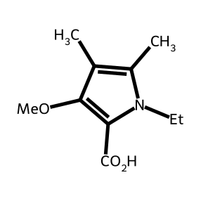 CCn1c(C)c(C)c(OC)c1C(=O)O